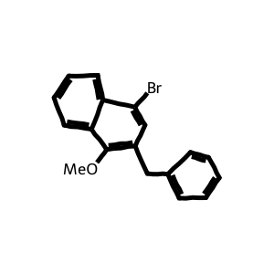 COc1c(Cc2ccccc2)cc(Br)c2ccccc12